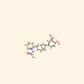 COc1ccc(-c2cc3cc(C4COCCN4CC(C)=O)ccc3o2)cc1OC